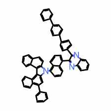 c1ccc(-c2ccc(-c3ccc(-c4nc5ccccc5nc4-c4cccc5c(-n6c7ccc8ccccc8c7c7c8ccccc8c(-c8ccccc8)cc76)cccc45)cc3)cc2)cc1